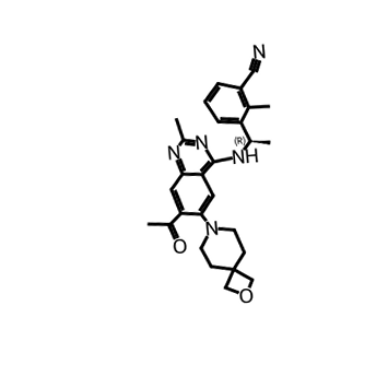 CC(=O)c1cc2nc(C)nc(N[C@H](C)c3cccc(C#N)c3C)c2cc1N1CCC2(CC1)COC2